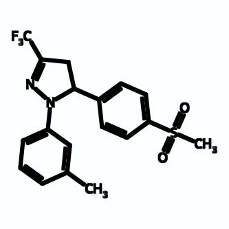 Cc1cccc(N2N=C(C(F)(F)F)CC2c2ccc(S(C)(=O)=O)cc2)c1